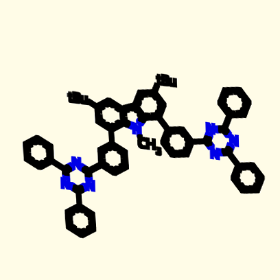 Cn1c2c(-c3cccc(-c4nc(-c5ccccc5)nc(-c5ccccc5)n4)c3)cc(C(C)(C)C)cc2c2cc(C(C)(C)C)cc(-c3cccc(-c4nc(-c5ccccc5)nc(-c5ccccc5)n4)c3)c21